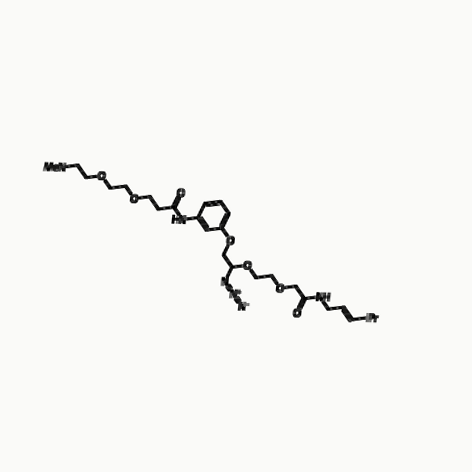 CNCCOCCOCCC(=O)Nc1cccc(OCC(N=[N+]=[N-])OCCOCC(=O)NC/C=C/C(C)C)c1